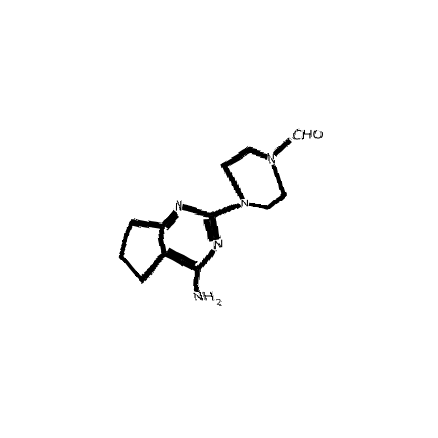 Nc1nc(N2CCN(C=O)CC2)nc2c1CCC2